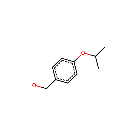 CC(C)Oc1ccc(C[O])cc1